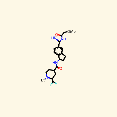 CCN1CCC(C(=O)N[C@@H]2CCc3cc(C4NOC(COC)N4)ccc32)CC1C(F)F